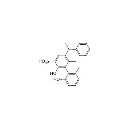 Cc1cccc(O)c1-c1c(C)c(C(C)c2ccccc2)cc(S(=O)(=O)O)c1O